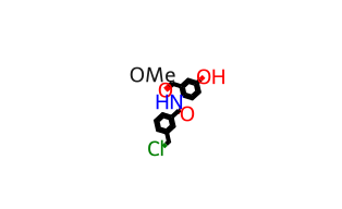 COC(=O)c1cc(O)ccc1NC(=O)c1cccc(CCl)c1